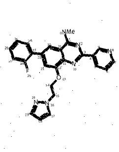 CNc1nc(-c2cccnc2)nc2c(OCCn3cccn3)cc(-c3ccccc3F)cc12